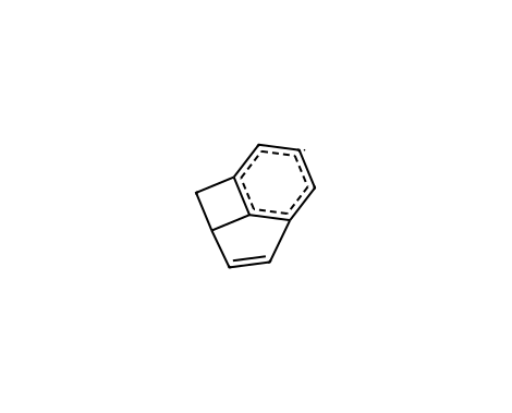 [c]1cc2c3c(c1)CC3C=C2